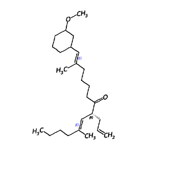 C=CC[C@H](/C=C(\C)CCCC)C(=O)CCCC/C(C)=C/C1CCCC(OC)C1